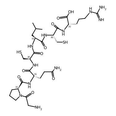 CC(C)C[C@H](NC(=O)[C@H](CS)NC(=O)[C@H](CCC(N)=O)NC(=O)[C@@H]1CCCN1C(=O)CN)C(=O)N[C@@H](CS)C(=O)N[C@@H](CCCNC(=N)N)C(=O)O